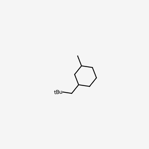 CC1CCCC(CC(C)(C)C)C1